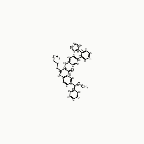 CCCCc1nc2ccc(C(OC)c3ccccc3)cc2c(=O)n1Cc1ccc(-c2ccccc2-c2nnn[nH]2)cc1